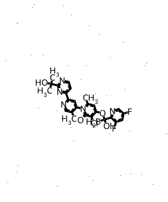 BC(O)(Oc1cc(C)n(-c2cc(-c3ccnc(C(C)(C)O)n3)ncc2C)c(=O)c1Cl)c1ncc(F)cc1F